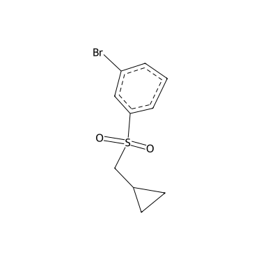 O=S(=O)(CC1CC1)c1cccc(Br)c1